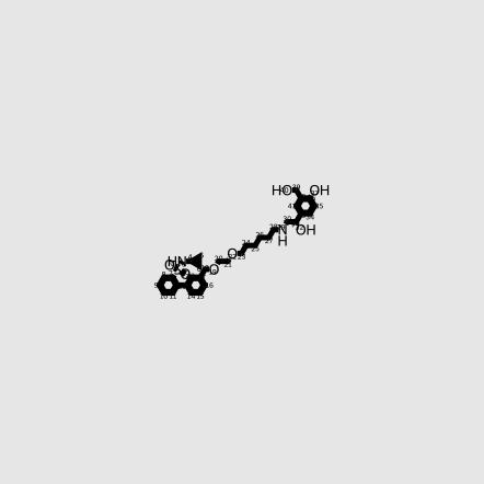 O=S(=O)(NC1CC1)c1ccccc1-c1cccc(COCCOCCCCCCNC[C@H](O)c2ccc(O)c(CO)c2)c1